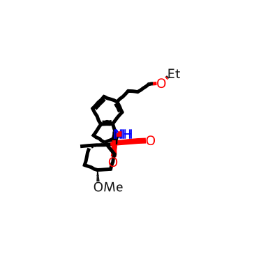 CCOCCCc1ccc2c(c1)C1(NC(=O)NC1=O)[C@]1(CC[C@H](OC)CC1)C2